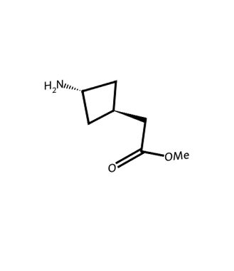 COC(=O)C[C@H]1C[C@H](N)C1